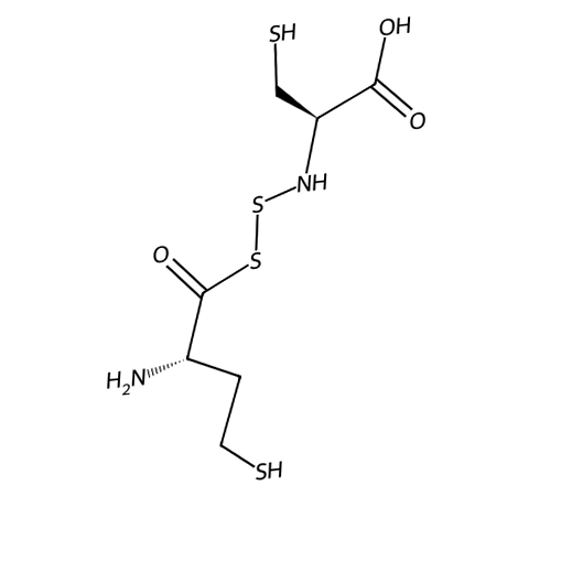 N[C@@H](CCS)C(=O)SSN[C@@H](CS)C(=O)O